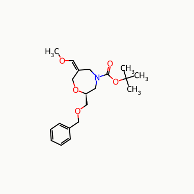 CO/C=C1\CO[C@H](COCc2ccccc2)CN(C(=O)OC(C)(C)C)C1